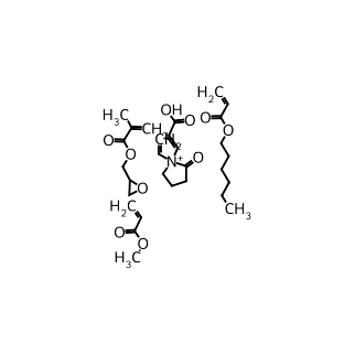 C=C(C)C(=O)OCC1CO1.C=CC(=O)OC.C=CC(=O)OCCCCCC.C=C[N+]1(C=CC(=O)O)CCCC1=O